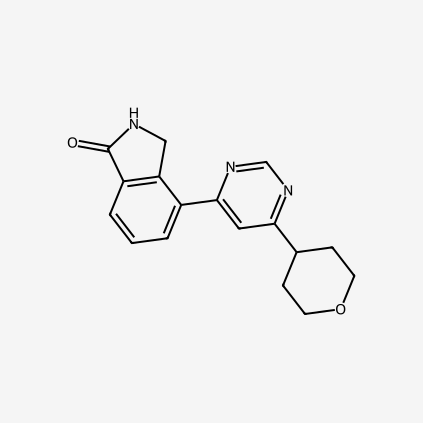 O=C1NCc2c1cccc2-c1cc(C2CCOCC2)ncn1